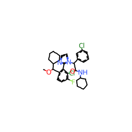 COC(c1ccc(F)c(Cl)c1-c1nccn1C(C(=O)NC1CCCCC1)c1cccc(Cl)c1)C1CCCCC1